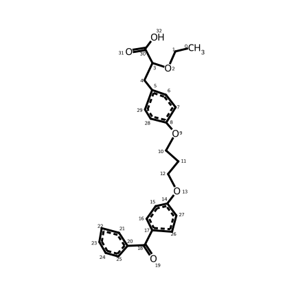 CCOC(Cc1ccc(OCCCOc2ccc(C(=O)c3ccccc3)cc2)cc1)C(=O)O